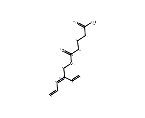 C=C/C=C(\C=C)COC(=O)CCCC(=O)O